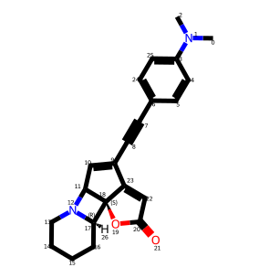 CN(C)c1ccc(C#CC2=CC3N4CCCC[C@@H]4[C@]34OC(=O)C=C24)cc1